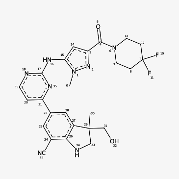 Cn1nc(C(=O)N2CCC(F)(F)CC2)cc1Nc1nccc(-c2cc(C#N)c3c(c2)C(C)(CO)CN3)n1